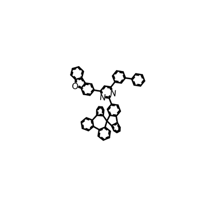 c1ccc(-c2cccc(-c3cc(-c4ccc5oc6ccccc6c5c4)nc(-c4ccc5c(c4)C4(c6ccccc6-c6ccccc6-c6ccccc64)c4ccccc4-5)n3)c2)cc1